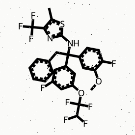 COc1cc(C(Cc2ccccc2)(Nc2nc(C(F)(F)F)c(C)s2)c2cc(F)cc(OC(F)(F)C(F)F)c2)ccc1F